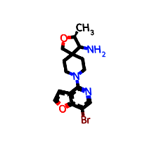 C[C@@H]1OCC2(CCN(c3ncc(Br)c4occc34)CC2)C1N